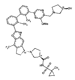 COc1nc(-c2cccc(-c3cccc(-c4nc5cc6c(c(C(F)(F)F)c5o4)CC[C@H]6N4CC[C@@H](C(=O)NS(=O)(=O)C5(C)CC5)C4)c3C)c2C)cnc1CN1CC[C@@H](O)C1